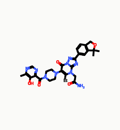 CCc1c(N2CCN(C(=O)c3ncnc(C)c3O)CC2)c(=O)n2nc(-c3ccc4c(c3)C(C)(C)OC4)nc2n1CC(N)=O